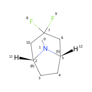 CN1[C@@H]2CC[C@H]1CC(F)(F)C2